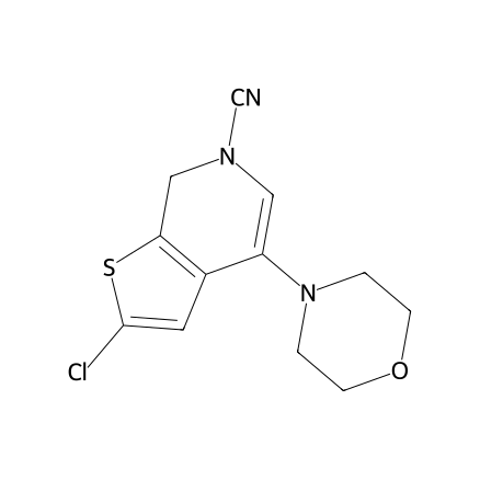 N#CN1C=C(N2CCOCC2)c2cc(Cl)sc2C1